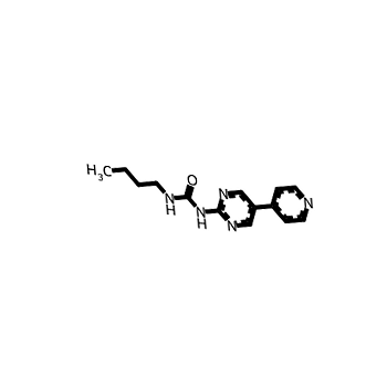 CCCCNC(=O)Nc1ncc(-c2ccncc2)cn1